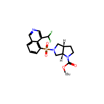 CC(C)(C)OC(=O)N1CC[C@H]2CN(S(=O)(=O)c3cccc4cncc(C(F)F)c34)C[C@H]21